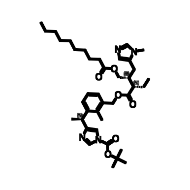 CCCCCCCCCC(=O)OC[C@H](Cc1cncn1C)[C@H](CC)C(=O)OCc1cccc([C@H](C)c2cn(C(=O)OC(C)(C)C)cn2)c1C